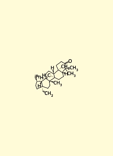 C=C[C@]12CC[C@@H](C(C)C)[C@@H]1[C@H]1CC[C@@H]3[C@@]4(C)CCC(=O)C(C)(C)[C@@H]4CC[C@@]3(C)[C@]1(C)CC2